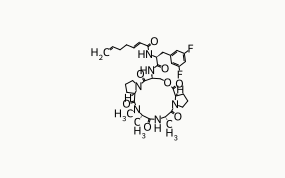 C=CCC/C=C/C(=O)N[C@@H](Cc1cc(F)cc(F)c1)C(=O)N[C@H]1COC(=O)[C@@H]2CCCN2C(=O)[C@H](C)NC(=O)[C@H](C)N(C)C(=O)[C@@H]2CCCN2C1=O